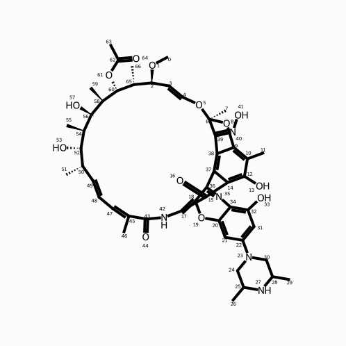 CO[C@H]1/C=C/O[C@@]2(C)Oc3c(C)c(O)c4c(=O)c(c5oc6cc(N7CC(C)NC(C)C7)cc(O)c6nc-5c4c3/C2=N/O)NC(=O)/C(C)=C\C=C\[C@H](C)[C@H](O)[C@@H](C)[C@@H](O)[C@@H](C)[C@H](OC(C)=O)[C@@H]1C